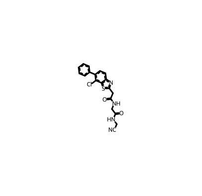 N#CCNC(=O)CNC(=O)Cc1nc2ccc(-c3ccccc3)c(Cl)c2s1